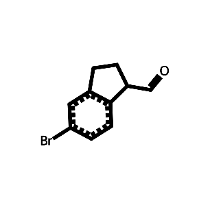 O=CC1CCc2cc(Br)ccc21